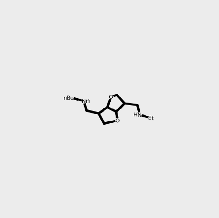 CCCCNCC1COC2C(CNCC)COC12